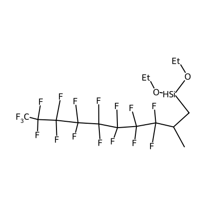 CCO[SiH](CC(C)C(F)(F)C(F)(F)C(F)(F)C(F)(F)C(F)(F)C(F)(F)C(F)(F)C(F)(F)F)OCC